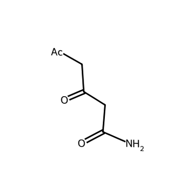 CC(=O)CC(=O)CC(N)=O